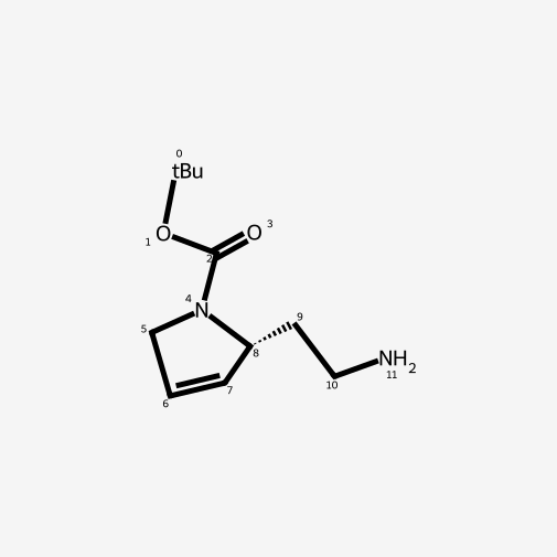 CC(C)(C)OC(=O)N1CC=C[C@H]1CCN